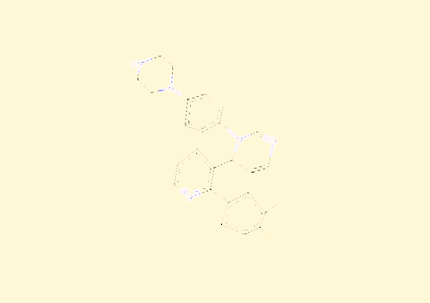 Cc1cc(-c2ncccc2C2C=CN=CN2c2ccc(N3CCNCC3)cc2)ccc1F